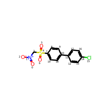 O=[N+]([O-])CS(=O)(=O)c1ccc(-c2ccc(Cl)cc2)cc1